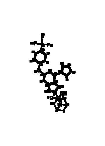 O=C(O)N1C2CC1CN(c1nc3cc(Oc4ccc(C(F)(F)F)cn4)cc(-c4nccs4)c3o1)C2